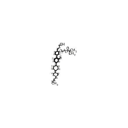 C=C(C)C(=O)OCCOc1cc(-c2ccc(C3CCC(C4CCC(CCCCC)CC4)CC3)cc2F)ccc1CCCO